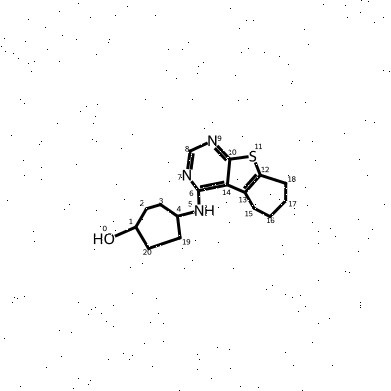 OC1CCC(Nc2ncnc3sc4c(c23)CCCC4)CC1